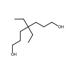 CCC(CC)(CCCO)CCCO